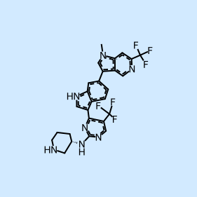 Cn1cc(-c2ccc3c(-c4nc(N[C@H]5CCCNC5)ncc4C(F)(F)F)c[nH]c3c2)c2cnc(C(F)(F)F)cc21